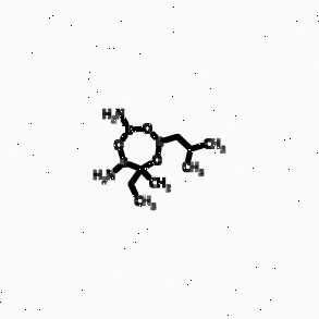 CCC1(C)OB(CC(C)C)OB(N)OB1N